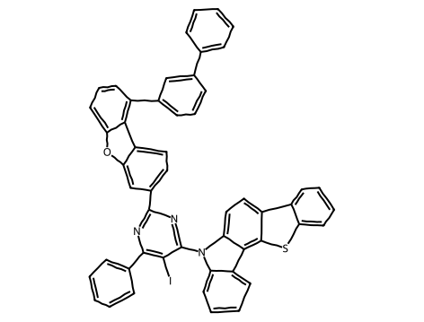 Ic1c(-c2ccccc2)nc(-c2ccc3c(c2)oc2cccc(-c4cccc(-c5ccccc5)c4)c23)nc1-n1c2ccccc2c2c3sc4ccccc4c3ccc21